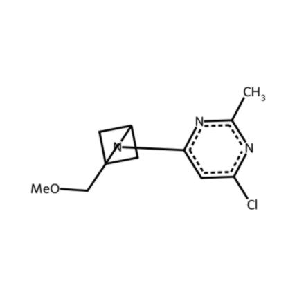 COCC12CC(C1)N(c1cc(Cl)nc(C)n1)C2